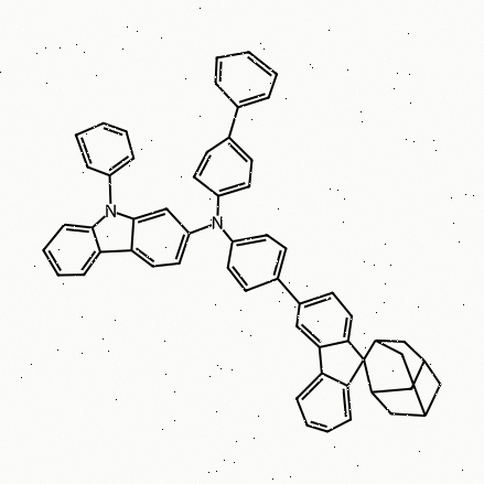 c1ccc(-c2ccc(N(c3ccc(-c4ccc5c(c4)-c4ccccc4C54C5CC6CC(C5)CC4C6)cc3)c3ccc4c5ccccc5n(-c5ccccc5)c4c3)cc2)cc1